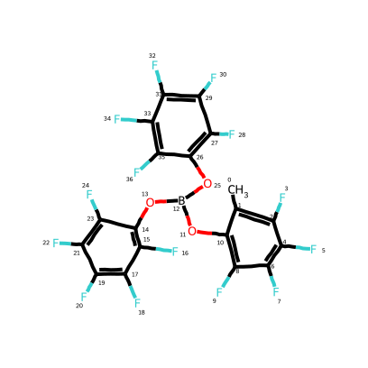 Cc1c(F)c(F)c(F)c(F)c1OB(Oc1c(F)c(F)c(F)c(F)c1F)Oc1c(F)c(F)c(F)c(F)c1F